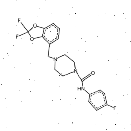 O=C(Nc1ccc(F)cc1)N1CCN(Cc2cccc3c2OC(F)(F)O3)CC1